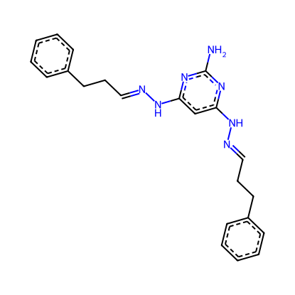 Nc1nc(NN=CCCc2ccccc2)cc(NN=CCCc2ccccc2)n1